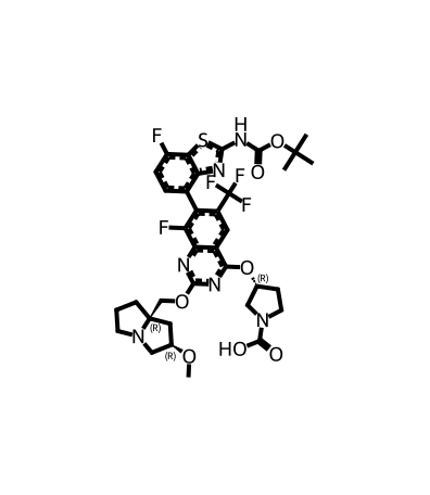 CO[C@H]1CN2CCC[C@]2(COc2nc(O[C@@H]3CCN(C(=O)O)C3)c3cc(C(F)(F)F)c(-c4ccc(F)c5sc(NC(=O)OC(C)(C)C)nc45)c(F)c3n2)C1